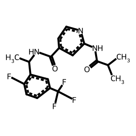 CC(C)C(=O)Nc1cc(C(=O)NC(C)c2cc(C(F)(F)F)ccc2F)ccn1